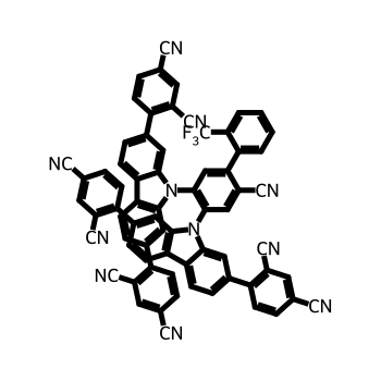 N#Cc1ccc(-c2ccc3c4ccc(-c5ccc(C#N)cc5C#N)cc4n(-c4cc(C#N)c(-c5ccccc5C(F)(F)F)cc4-n4c5cc(-c6ccc(C#N)cc6C#N)ccc5c5ccc(-c6ccc(C#N)cc6C#N)cc54)c3c2)c(C#N)c1